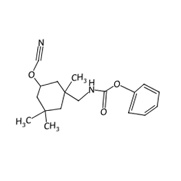 CC1(C)CC(OC#N)CC(C)(CNC(=O)Oc2ccccc2)C1